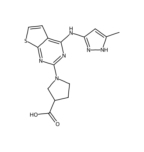 Cc1cc(Nc2nc(N3CCC(C(=O)O)C3)nc3sccc23)n[nH]1